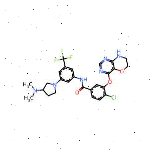 CN(C)C1CCN(c2cc(NC(=O)c3ccc(Cl)c(Oc4ncnc5c4OCCN5)c3)cc(C(F)(F)F)c2)C1